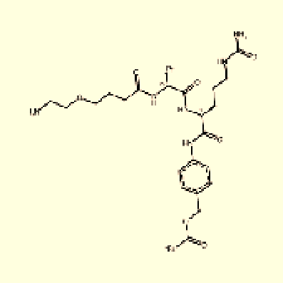 CC(C)[C@H](NC(=O)CCCOCCN)C(=O)N[C@@H](CCCNC(N)=O)C(=O)Nc1ccc(COC(=O)C(C)(C)C)cc1